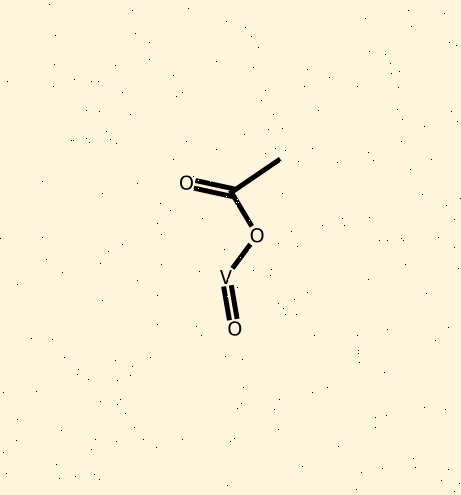 CC(=O)[O][V]=[O]